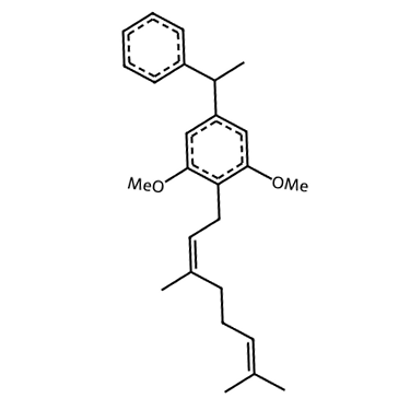 COc1cc(C(C)c2ccccc2)cc(OC)c1CC=C(C)CCC=C(C)C